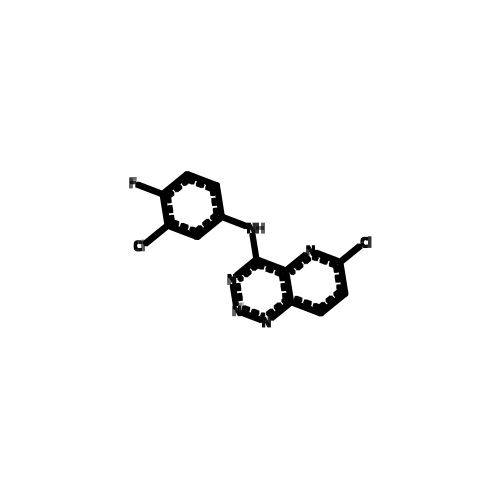 Fc1ccc(Nc2nnnc3ccc(Cl)nc23)cc1Cl